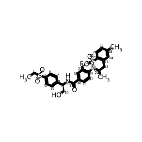 CCS(=O)(=O)c1ccc([C@H](CO)NC(=O)c2ccc(N3C(C)Cc4cc(C)ccc4S3(=O)=O)c(F)c2)cc1